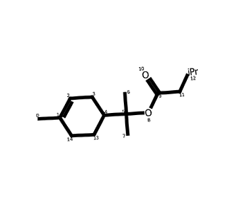 CC1=CCC(C(C)(C)OC(=O)CC(C)C)CC1